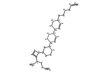 CC(CCN)C1=C=CC1C1CCCC(C2C=CC(C3C=CC(CCCCC=N)CC3)CC2)C1